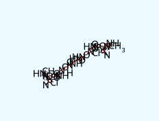 C[C@@H]1CN([C@H]2Cc3c(C#N)cc(Cl)cc3[C@@H]2Oc2ccc(S(=O)(=O)NC3CCN(CCOCCNC(=O)NCCCCNC(=O)NCCOCCN4CCC(NS(=O)(=O)c5ccc(O[C@H]6c7cc(Cl)cc(C#N)c7C[C@@H]6N6CCN[C@H](C)C6)cc5)CC4)CC3)cc2)CCN1